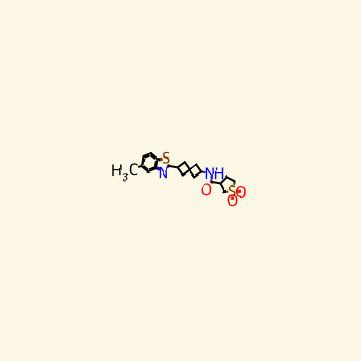 Cc1ccc2sc(C3CC4(CC(NC(=O)C5CCS(=O)(=O)C5)C4)C3)nc2c1